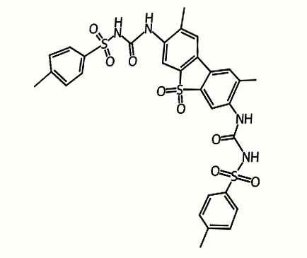 Cc1ccc(S(=O)(=O)NC(=O)Nc2cc3c(cc2C)-c2cc(C)c(NC(=O)NS(=O)(=O)c4ccc(C)cc4)cc2S3(=O)=O)cc1